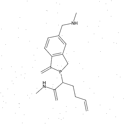 C=CCCC(C(=C)NC)P1Cc2cc(CNC)ccc2C1=C